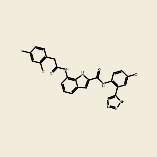 O=C(Cc1ccc(Cl)cc1Cl)Nc1cccc2cc(C(=O)Nc3ccc(Cl)cc3-c3nnn[nH]3)[nH]c12